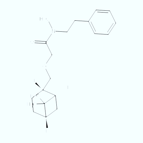 CN(CCc1ccccc1)C(=O)COC[C@H]1CC[C@H]2C[C@H]1C2(C)C